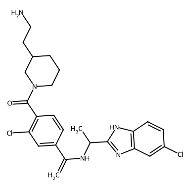 C=C(NC(C)c1nc2cc(Cl)ccc2[nH]1)c1ccc(C(=O)N2CCCC(CCN)C2)c(Cl)c1